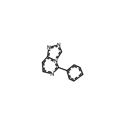 c1ccc(-c2nccc3nncn23)cc1